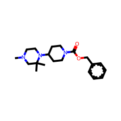 CN1CCN(C2CCN(C(=O)OCc3ccccc3)CC2)C(C)(C)C1